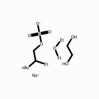 CCCCC(CC)COS(=O)(=O)[O-].CCOCC.OCCO.[Na+]